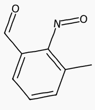 Cc1cccc(C=O)c1N=O